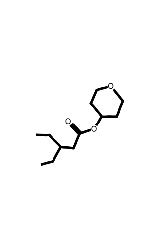 CCC(CC)CC(=O)OC1CCOCC1